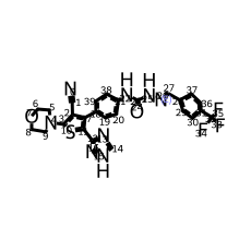 N#Cc1c(N2CCOCC2)sc(-c2nc[nH]n2)c1-c1ccc(NC(=O)N/N=C/c2ccc(C(F)(F)F)cc2)cc1